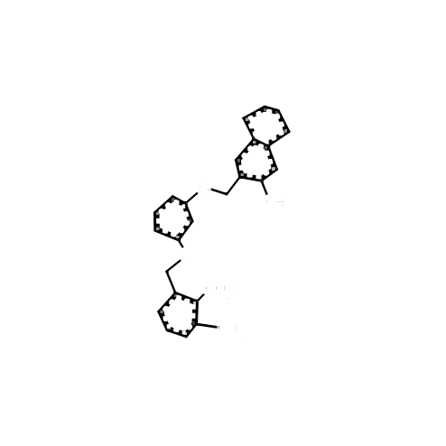 Cc1cc2ccccc2cc1COc1cccc(OCc2cccc(C)c2C(=O)O)c1